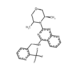 CC1COC[C@@H](C)N1c1nc(NCc2cccnc2C(F)(F)F)c2cccnc2n1